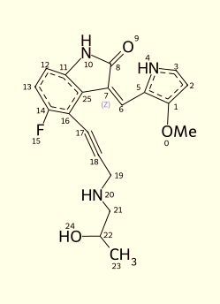 COc1cc[nH]c1/C=C1\C(=O)Nc2ccc(F)c(C#CCNCC(C)O)c21